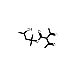 CC(=O)C(C(C)=O)C(=O)OC(C)(C)CC(C)O